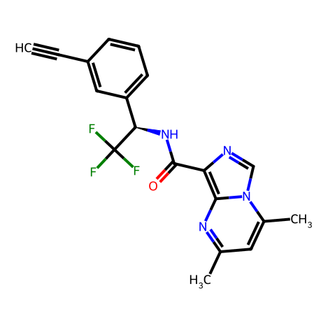 C#Cc1cccc([C@@H](NC(=O)c2ncn3c(C)cc(C)nc23)C(F)(F)F)c1